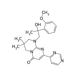 COc1ccccc1C(C)(O)CN1CC(C)(C)Cn2c1nc(-c1ccncn1)cc2=O